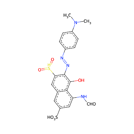 CN(C)c1ccc(/N=N/c2c([SH](=O)=O)cc3cc(S(=O)(=O)O)cc(NC=O)c3c2O)cc1